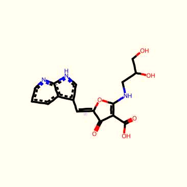 O=C(O)C1=C(NCC(O)CO)O/C(=C\c2c[nH]c3ncccc23)C1=O